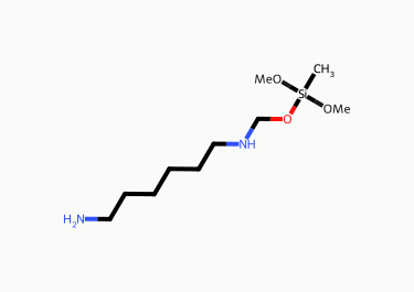 CO[Si](C)(OC)OCNCCCCCCN